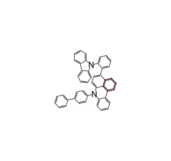 c1ccc(-c2ccc(N(c3ccccc3-c3ccccc3)c3ccc(-c4ccccc4-n4c5ccccc5c5ccccc54)c4ccccc34)cc2)cc1